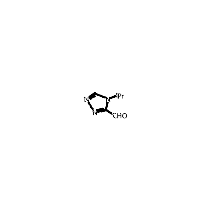 CC(C)n1cnnc1C=O